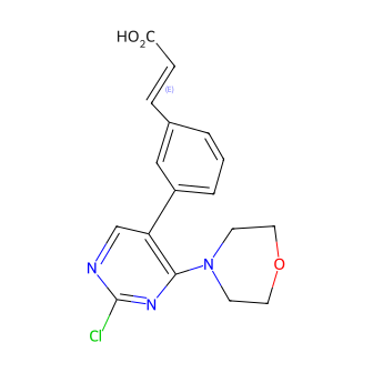 O=C(O)/C=C/c1cccc(-c2cnc(Cl)nc2N2CCOCC2)c1